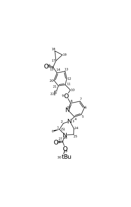 C[C@H]1CN(c2cccc(OCc3ccc(C(=O)C4CC4)cc3F)n2)CCN1C(=O)OC(C)(C)C